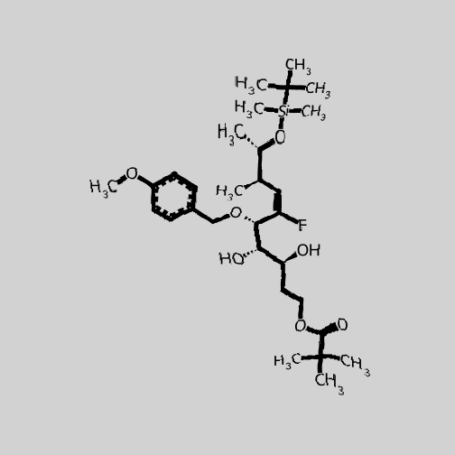 COc1ccc(CO[C@H](/C(F)=C\[C@@H](C)[C@H](C)O[Si](C)(C)C(C)(C)C)[C@@H](O)[C@@H](O)CCOC(=O)C(C)(C)C)cc1